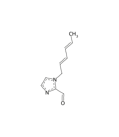 CC=CC=CCn1ccnc1C=O